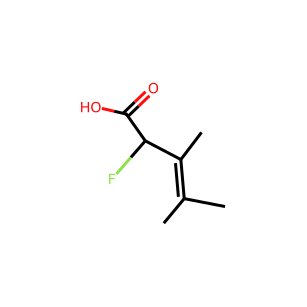 CC(C)=C(C)C(F)C(=O)O